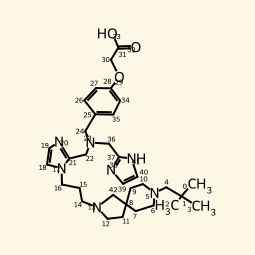 CC(C)(C)CN1CCC2(CC1)CCN(CCCn1ccnc1CN(Cc1ccc(OCC(=O)O)cc1)Cc1ncc[nH]1)C2